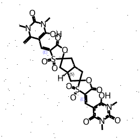 C=C1C(/C=C2\C(=O)OC3(CC4CC5(C[C@@H]4C3)OC(=O)/C(=C\c3c(O)n(C)c(=O)n(C)c3=O)S5(=O)=O)S2(=O)=O)=C(O)N(C)C(=O)N1C